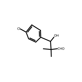 CC(C)(C=O)C(O)c1ccc(Cl)cc1